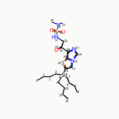 CCC[CH2][Sn]([CH2]CCC)([CH2]CCC)[c]1cn2cnc(C(=O)CNS(=O)(=O)N(C)C)c2s1